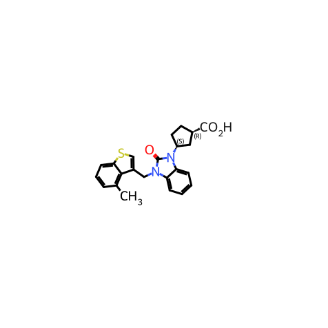 Cc1cccc2scc(Cn3c(=O)n([C@H]4CC[C@@H](C(=O)O)C4)c4ccccc43)c12